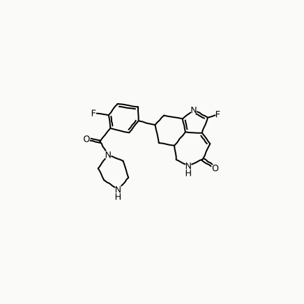 O=C1C=C2C(F)=NC3=C2C(CN1)CC(c1ccc(F)c(C(=O)N2CCNCC2)c1)C3